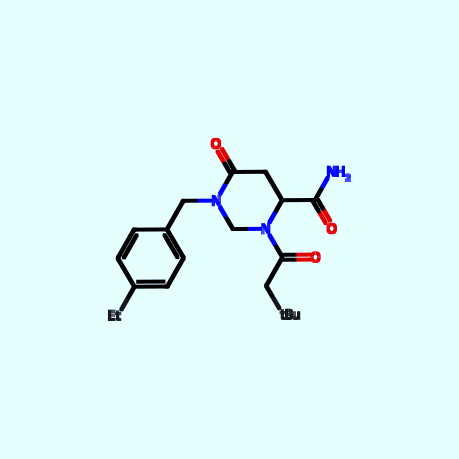 CCc1ccc(CN2CN(C(=O)CC(C)(C)C)C(C(N)=O)CC2=O)cc1